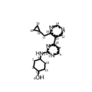 OC1CCC(Nc2nccc(-c3cncnc3CC3CC3)n2)CC1